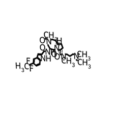 CCN(C)CCCN(C)C(=O)[C@@H]1CC[C@@H]2CCN(C(C)=O)CC(NC(=O)c3cc4cc(C(C)(F)F)ccc4[nH]3)C(=O)N21